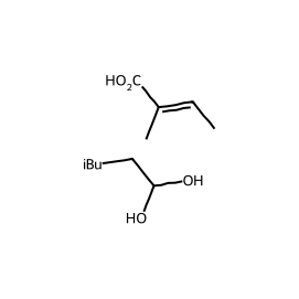 CC=C(C)C(=O)O.CCC(C)CC(O)O